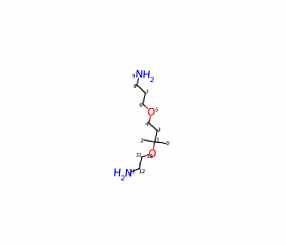 CC(C)(CCOCCCN)OCCN